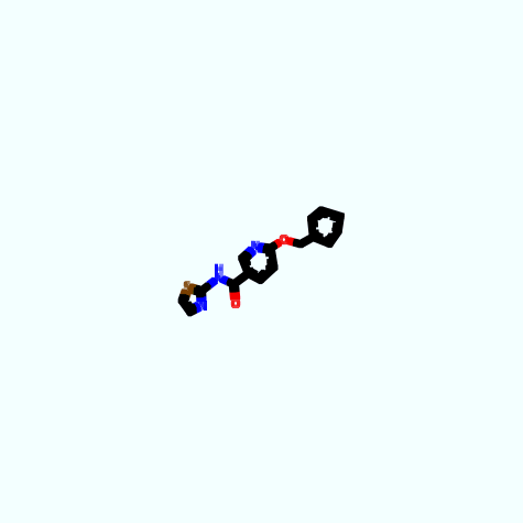 O=C(Nc1nccs1)c1ccc(OCc2ccccc2)nc1